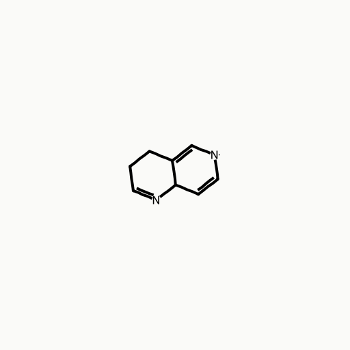 C1=CC2N=CCCC2=C[N]1